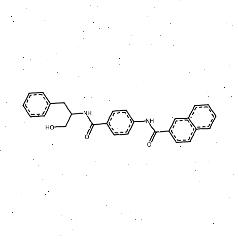 O=C(Nc1ccc(C(=O)NC(CO)Cc2ccccc2)cc1)c1ccc2ccccc2c1